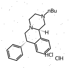 CCCCN1CCN2C[C@@H](c3ccccc3)c3ccccc3[C@@H]2C1.Cl.Cl